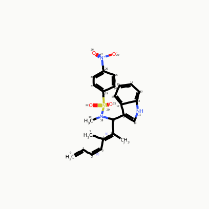 C=C/C=C\C(C)=C(/C)C(c1c[nH]c2ccccc12)N(C)S(=O)(=O)c1ccc([N+](=O)[O-])cc1